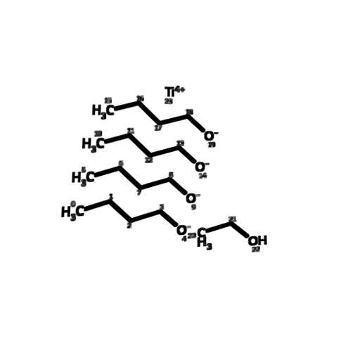 CCCC[O-].CCCC[O-].CCCC[O-].CCCC[O-].CCO.[Ti+4]